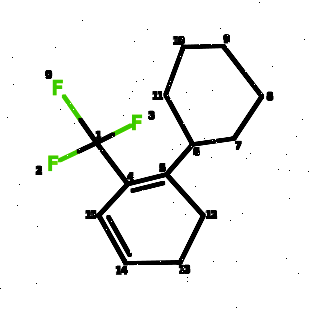 FC(F)(F)C1=C(C2CCCCC2)CCC=C1